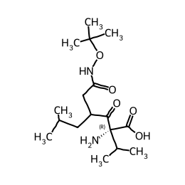 CC(C)CC(CC(=O)NOC(C)(C)C)C(=O)[C@@](N)(C(=O)O)C(C)C